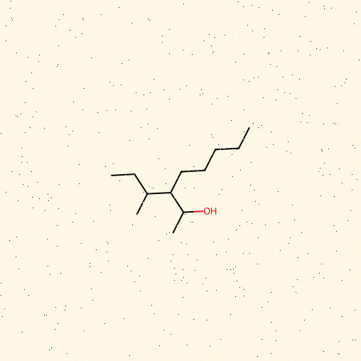 CCCCCC(C(C)O)C(C)CC